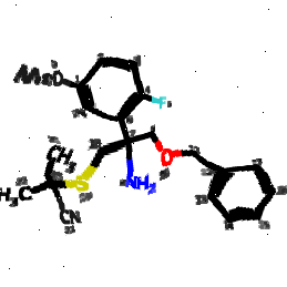 COc1ccc(F)c(C(N)(COCc2ccccc2)CSC(C)(C)C#N)c1